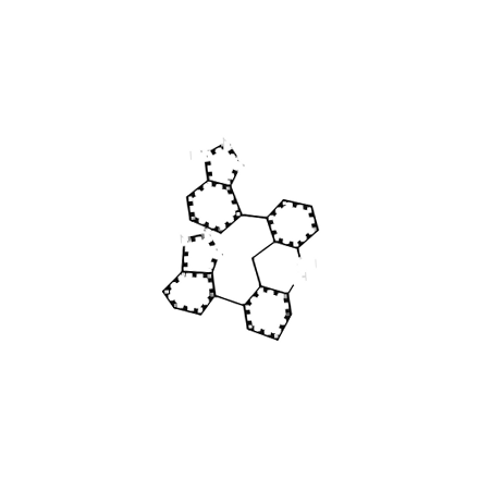 Oc1cccc(-c2cccc3[nH]nnc23)c1Cc1c(O)cccc1-c1cccc2[nH]nnc12